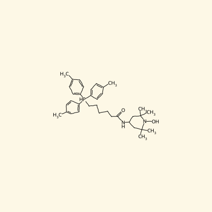 Cc1ccc([PH](CCCCCC(=O)NC2CC(C)(C)N(O)C(C)(C)C2)(c2ccc(C)cc2)c2ccc(C)cc2)cc1